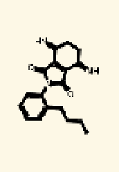 CCCCc1ccccc1N1C(=O)C2=C(C(=N)CCC2=N)C1=O